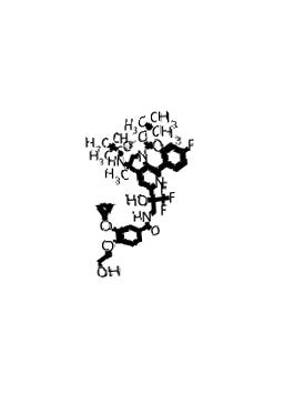 CC(C)(C)OC(=O)N1C[C@@](C)(N[S+]([O-])C(C)(C)C)c2cc(C(O)(CNC(=O)c3ccc(OCCO)c(OC4CC4)c3)C(F)(F)F)nc(-c3ccc(F)cc3)c21